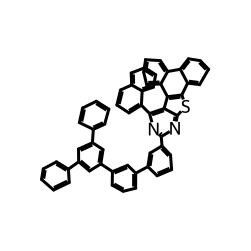 c1ccc(-c2cc(-c3ccccc3)cc(-c3cccc(-c4cccc(-c5nc(-c6cccc7ccccc67)c6c(n5)sc5c7ccccc7c7ccccc7c56)c4)c3)c2)cc1